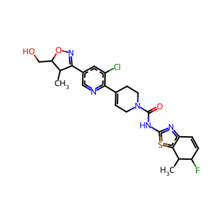 CC1C(c2cnc(C3=CCN(C(=O)Nc4nc5c(s4)C(C)C(F)C=C5)CC3)c(Cl)c2)=NOC1CO